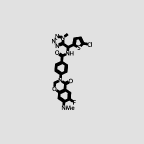 CNc1cc2c(cc1F)C(=O)N(c1ccc(C(=O)NC(c3ccc(Cl)s3)c3nnnn3C)cc1)CO2